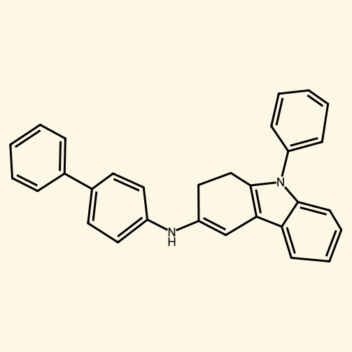 C1=C(Nc2ccc(-c3ccccc3)cc2)CCc2c1c1ccccc1n2-c1ccccc1